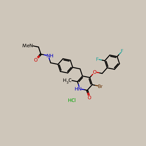 CNCC(=O)NCc1ccc(Cc2c(C)[nH]c(=O)c(Br)c2OCc2ccc(F)cc2F)cc1.Cl